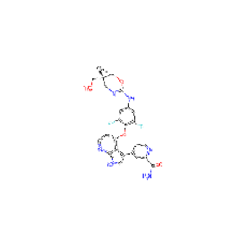 C[C@]1(CO)CN=C(Nc2cc(F)c(Oc3ccnc4[nH]cc(-c5ccnc(C(N)=O)c5)c34)c(F)c2)OC1